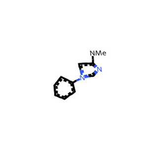 CNc1cn(-c2ccccc2)cn1